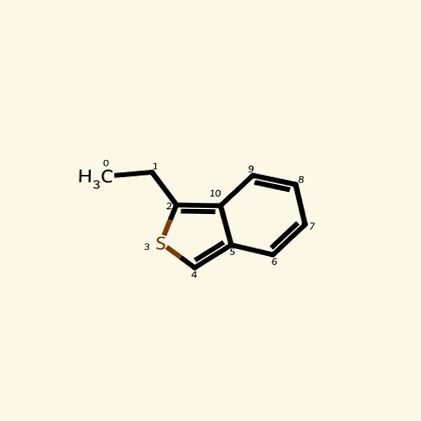 CCc1scc2ccccc12